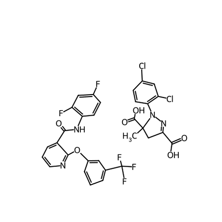 CC1(C(=O)O)CC(C(=O)O)=NN1c1ccc(Cl)cc1Cl.O=C(Nc1ccc(F)cc1F)c1cccnc1Oc1cccc(C(F)(F)F)c1